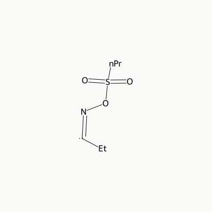 CC/[C]=N\OS(=O)(=O)CCC